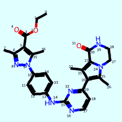 CCOC(=O)c1c(C)nn(-c2ccc(Nc3nccc(-c4c(C)c5n(c4C)CCNC5=O)n3)cc2)c1C